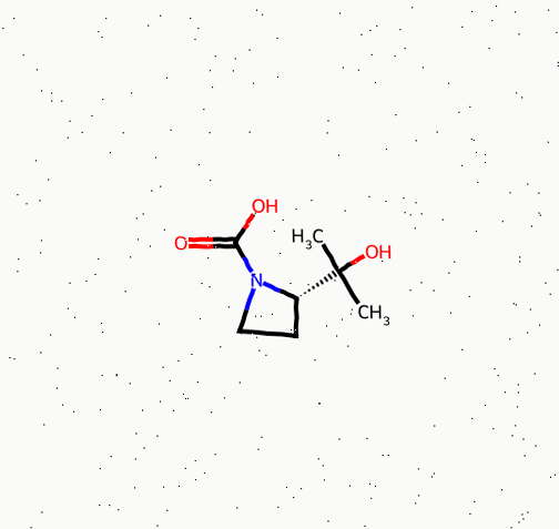 CC(C)(O)[C@@H]1CCN1C(=O)O